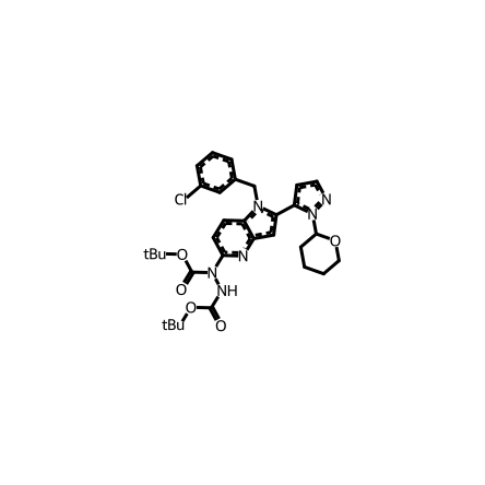 CC(C)(C)OC(=O)NN(C(=O)OC(C)(C)C)c1ccc2c(cc(-c3ccnn3C3CCCCO3)n2Cc2cccc(Cl)c2)n1